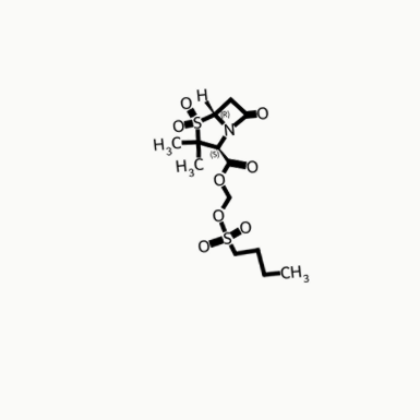 CCCCS(=O)(=O)OCOC(=O)[C@@H]1N2C(=O)C[C@H]2S(=O)(=O)C1(C)C